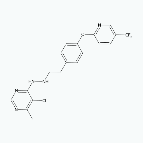 Cc1ncnc(NNCCc2ccc(Oc3ccc(C(F)(F)F)cn3)cc2)c1Cl